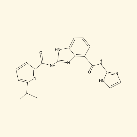 CC(C)c1cccc(C(=O)Nc2nc3c(C(=O)Nc4ncc[nH]4)cccc3[nH]2)n1